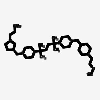 COCCN1CC[C@H](CN2CCN(C(C)(C)CCC(C)(C)N3CCN(CC4CCN(CCOC(C)(C)C)CC4)CC3)CC2)C1